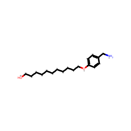 NCc1ccc(OCCCCCCCCCCCO)cc1